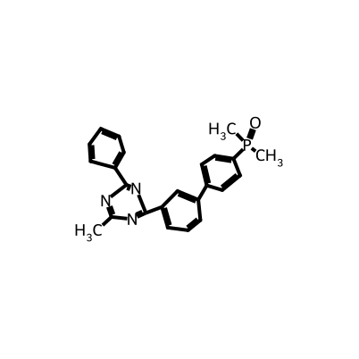 Cc1nc(-c2ccccc2)nc(-c2cccc(-c3ccc(P(C)(C)=O)cc3)c2)n1